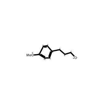 COc1ccc(CCC[O])cc1